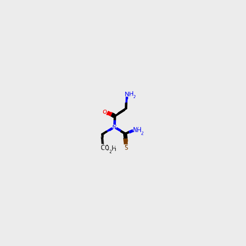 NCC(=O)N(CC(=O)O)C(N)=S